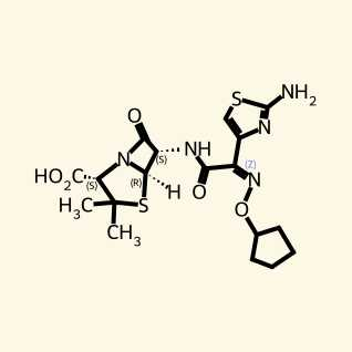 CC1(C)S[C@@H]2[C@@H](NC(=O)/C(=N\OC3CCCC3)c3csc(N)n3)C(=O)N2[C@H]1C(=O)O